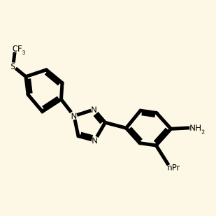 CCCc1cc(-c2ncn(-c3ccc(SC(F)(F)F)cc3)n2)ccc1N